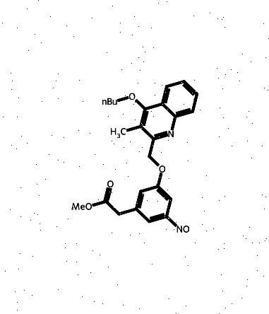 CCCCOc1c(C)c(COc2cc(CC(=O)OC)cc(N=O)c2)nc2ccccc12